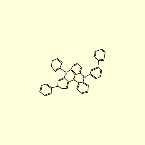 C1=CC(N2C3=CC(c4ccccc4)CC=C3B3c4ccccc4N(c4cccc(-c5ccccc5)c4)c4cccc2c43)=CCC1